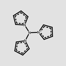 c1ccn(N(n2cccc2)n2cccc2)c1